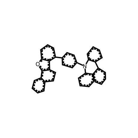 c1ccc(-c2ccccc2N(c2ccccc2)c2ccc(-c3cccc4oc5c6ccccc6ccc5c34)cc2)cc1